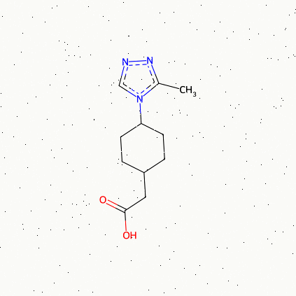 Cc1nncn1C1CCC(CC(=O)O)CC1